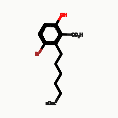 CCCCCCCCCCCCCCCc1c(Br)ccc(O)c1C(=O)O